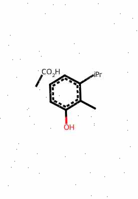 CC(=O)O.Cc1c(O)cccc1C(C)C